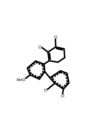 COc1ccc(C2=C(Cl)C(Cl)=CC[CH]2)c(-c2cccc(Cl)c2Cl)c1